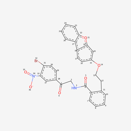 O=C(CNC(=O)c1ccccc1CCOc1ccc2c(c1)oc1ccccc12)c1ccc(Br)c([N+](=O)[O-])c1